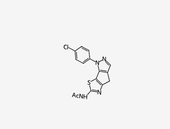 CC(=O)Nc1nc2c(s1)-c1c(cnn1-c1ccc(Cl)cc1)C2